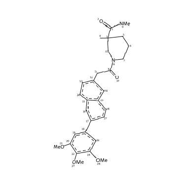 CNC(=O)C1(C)CCCN(C(=O)Cc2ccc3cc(-c4cc(OC)c(OC)c(OC)c4)ccc3c2)C1